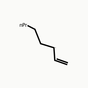 [CH2]CCCC[CH]C=C